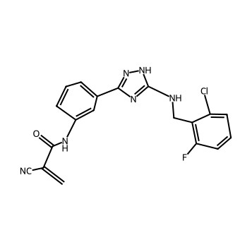 C=C(C#N)C(=O)Nc1cccc(-c2n[nH]c(NCc3c(F)cccc3Cl)n2)c1